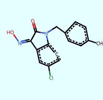 Cc1ccc(CN2C(=O)/C(=N\O)c3cc(Cl)ccc32)cc1